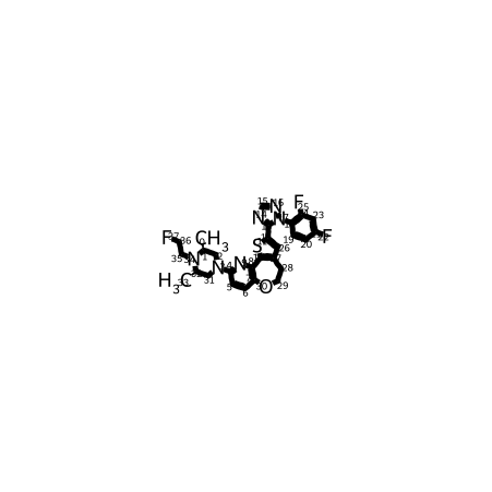 C[C@@H]1CN(c2ccc3c(n2)-c2sc(-c4ncnn4-c4ccc(F)cc4F)cc2CCO3)C[C@H](C)N1CCF